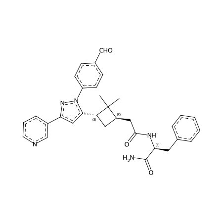 CC1(C)[C@@H](CC(=O)N[C@@H](Cc2ccccc2)C(N)=O)C[C@@H]1c1cc(-c2cccnc2)nn1-c1ccc(C=O)cc1